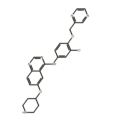 Clc1cc(Nc2ncnc3ccc(OC4CCNCC4)cc23)ccc1OCc1cnccn1